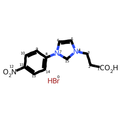 Br.O=C(O)CCN1C=CN(c2ccc([N+](=O)[O-])cc2)C1